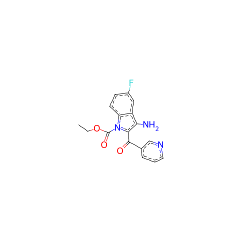 CCOC(=O)n1c(C(=O)c2cccnc2)c(N)c2cc(F)ccc21